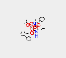 C=CCC(CC(=O)OC(C)(C)C)C(=O)N(C)[C@@H](C)[C@@H](OC(=O)[C@H](CC=C)NC(=O)OCC1c2ccccc2-c2ccccc21)c1ccccc1